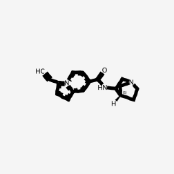 C#Cc1ccc2cc(C(=O)NC3CN4CC[C@H]3C4)ccn12